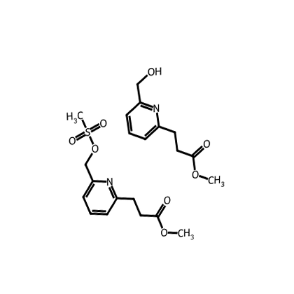 COC(=O)CCc1cccc(CO)n1.COC(=O)CCc1cccc(COS(C)(=O)=O)n1